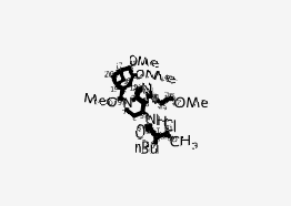 CCCCC(C(=O)NC1CCN(C(OC)C2CC(OC)C(OC)C3CC2C3)c2cnn(CCOC)c21)C(C)Cl